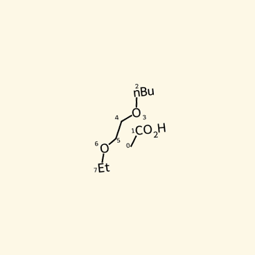 CC(=O)O.CCCCOCCOCC